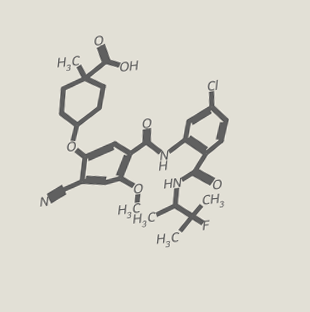 COc1cc(C#N)c(OC2CCC(C)(C(=O)O)CC2)cc1C(=O)Nc1cc(Cl)ccc1C(=O)NC(C)C(C)(C)F